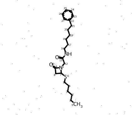 CCCCCCSC1CC(=O)N1CC(=O)NCCCCCCc1ccccc1